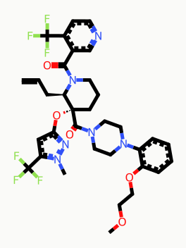 C=CC[C@H]1N(C(=O)c2cnccc2C(F)(F)F)CCC[C@@]1(Oc1cc(C(F)(F)F)n(C)n1)C(=O)N1CCN(c2ccccc2OCCOC)CC1